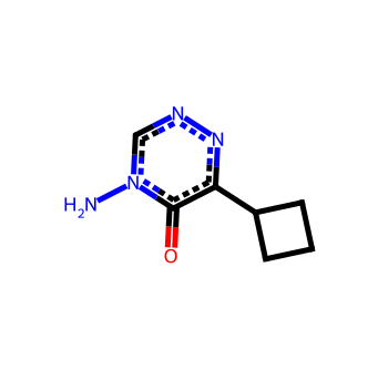 Nn1cnnc(C2CCC2)c1=O